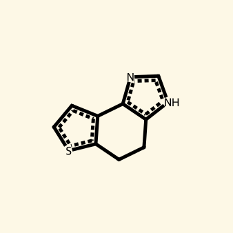 c1nc2c([nH]1)CCc1sccc1-2